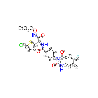 CCOC(=O)ONC(=O)C(NC(=O)c1ccc(-n2c(=O)[nH]c3cc(C)c(F)cc3c2=O)cc1)c1ccc(Cl)s1